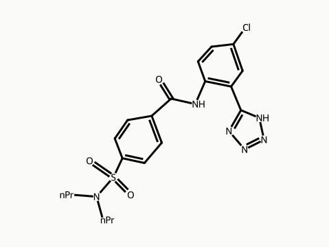 CCCN(CCC)S(=O)(=O)c1ccc(C(=O)Nc2ccc(Cl)cc2-c2nnn[nH]2)cc1